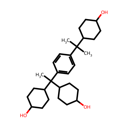 CC(C)(c1ccc(C(C)(C2CCC(O)CC2)C2CCC(O)CC2)cc1)C1CCC(O)CC1